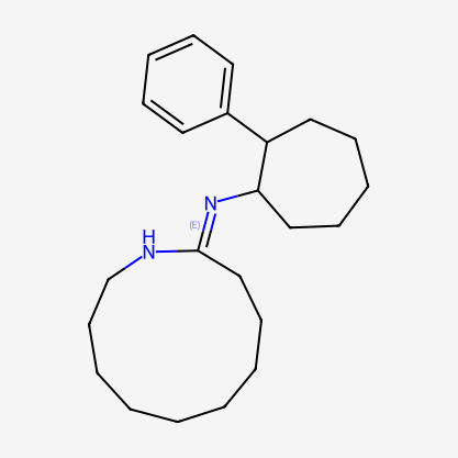 c1ccc(C2CCCCCC2/N=C2\CCCCCCCCCN2)cc1